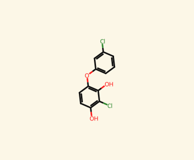 Oc1ccc(Oc2cccc(Cl)c2)c(O)c1Cl